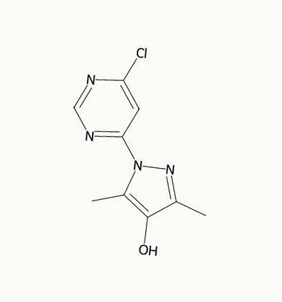 Cc1nn(-c2cc(Cl)ncn2)c(C)c1O